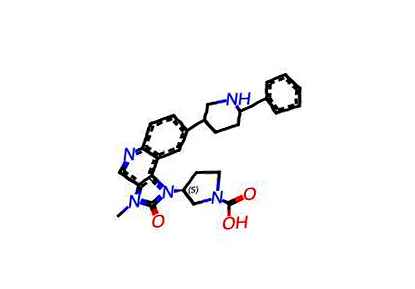 Cn1c(=O)n([C@H]2CCN(C(=O)O)C2)c2c3cc(C4CCC(c5ccccc5)NC4)ccc3ncc21